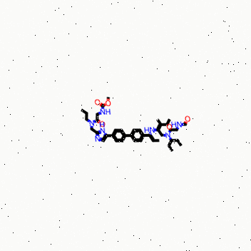 C/C=C(\N/C(CN(C(=O)CNC=O)C(CC)CC)=C(\C)CC)c1ccc(-c2ccc(-c3cnc(CN(CCC)C(=O)CNC(=O)OC)[nH]3)cc2)cc1